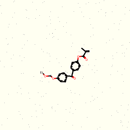 C=C(C)C(=O)Oc1ccc(C(=O)c2ccc(OCOCC)cc2)cc1